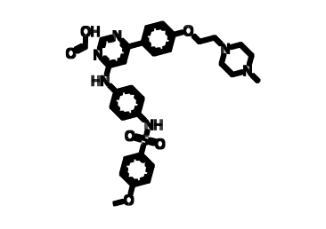 COc1ccc(S(=O)(=O)Nc2ccc(Nc3cc(-c4ccc(OCCN5CCN(C)CC5)cc4)ncn3)cc2)cc1.O=CO